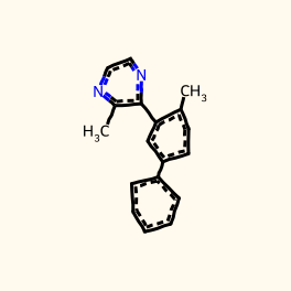 Cc1ccc(-c2ccccc2)cc1-c1nccnc1C